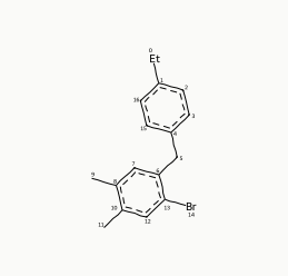 CCc1ccc(Cc2cc(C)c(C)cc2Br)cc1